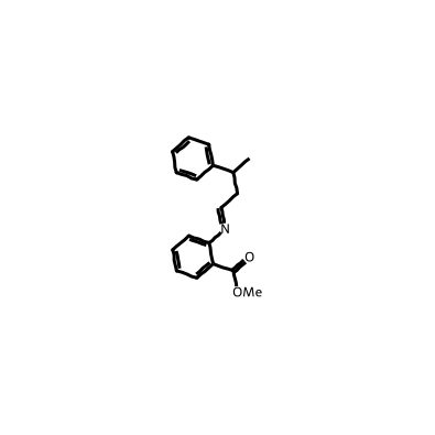 COC(=O)c1ccccc1N=CCC(C)c1ccccc1